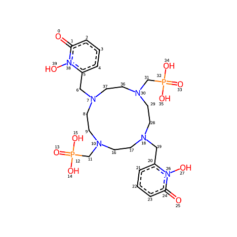 O=c1cccc(CN2CCN(CP(=O)(O)O)CCN(Cc3cccc(=O)n3O)CCN(CP(=O)(O)O)CC2)n1O